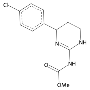 COC(=O)NC1=NC(c2ccc(Cl)cc2)CCN1